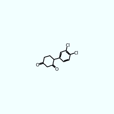 O=C1CCC(c2ccc(Cl)c(Cl)c2)C(=O)C1